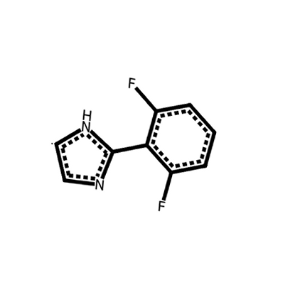 Fc1cccc(F)c1-c1nc[c][nH]1